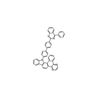 c1ccc(-c2nc(-c3ccc(-c4ccc(-n5c6ccccc6c6ccc7c8nccnc8c8ccccc8c7c65)cc4)cc3)nc3ccccc23)cc1